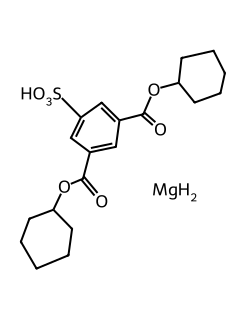 O=C(OC1CCCCC1)c1cc(C(=O)OC2CCCCC2)cc(S(=O)(=O)O)c1.[MgH2]